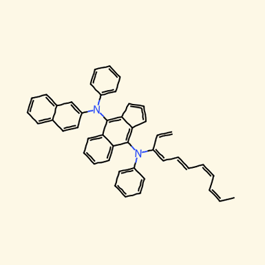 C=C\C(=C/C=C/C=C\C=C/C)N(c1ccccc1)c1c2c(c(N(c3ccccc3)c3ccc4ccccc4c3)c3ccccc13)C=C=C2